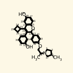 C[C@@H]1CCN([C@@H](C)COc2ccc(C3Oc4ccc(O)cc4C(C4CCC4)=C3c3cccc(O)c3)cc2)C1